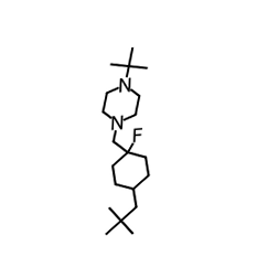 CC(C)(C)CC1CCC(F)(CN2CCN(C(C)(C)C)CC2)CC1